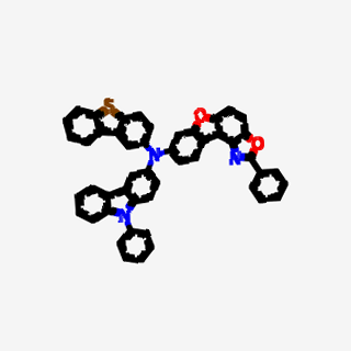 c1ccc(-c2nc3c(ccc4oc5cc(N(c6ccc7sc8ccccc8c7c6)c6ccc7c(c6)c6ccccc6n7-c6ccccc6)ccc5c43)o2)cc1